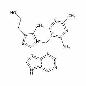 Cc1ncc(C[n+]2csc(CCO)c2C)c(N)n1.c1ncc2[nH]cnc2n1